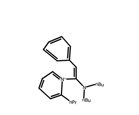 CCCCN(CCCC)C(=Cc1ccccc1)[n+]1ccccc1CCC